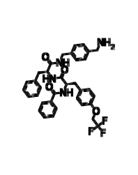 NCc1ccc(CNC(=O)[C@H](Cc2ccccc2)NC(=O)[C@@H](Cc2ccc(OCC(F)(F)F)cc2)NC(=O)c2ccccc2)cc1